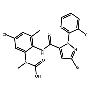 Cc1cc(Cl)cc(N(C)C(=O)O)c1NC(=O)c1cc(Br)nn1-c1ncccc1Cl